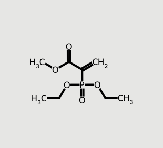 C=C(C(=O)OC)P(=O)(OCC)OCC